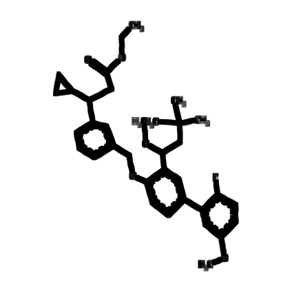 CCOC(=O)CC(c1cccc(COc2ccc(-c3cc(OC)ccc3F)cc2C(CC(C)(C)C)OC)c1)C1CC1